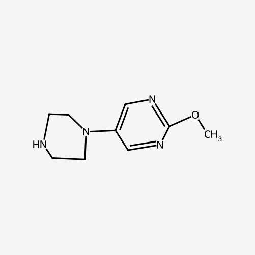 COc1ncc(N2CCNCC2)cn1